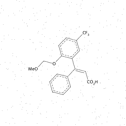 COCOc1ccc(C(F)(F)F)cc1C(=CC(=O)O)c1ccccc1